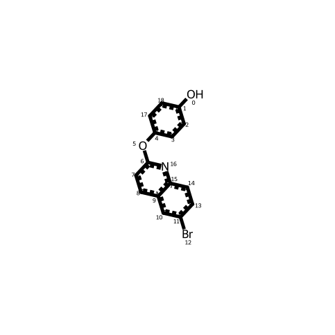 Oc1ccc(Oc2ccc3cc(Br)ccc3n2)cc1